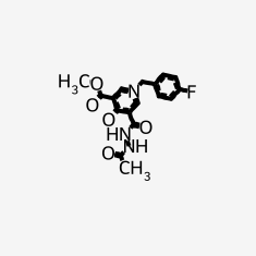 COC(=O)c1cn(Cc2ccc(F)cc2)cc(C(=O)NNC(C)=O)c1=O